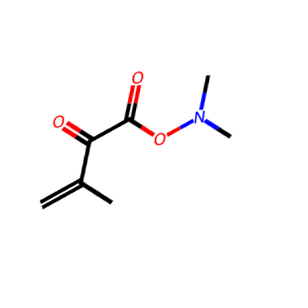 C=C(C)C(=O)C(=O)ON(C)C